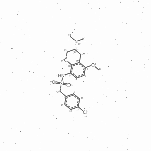 COc1ccc(NS(=O)(=O)Cc2ccc(Cl)cc2)c2c1C[C@@H](N(C)C)CO2